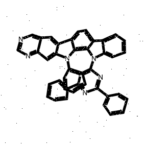 c1ccc(-c2nc(-c3ccccc3)nc(-n3c4ccccc4c4ccc5c6cc7cncnc7cc6n(-c6ccccc6)c5c43)n2)cc1